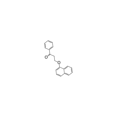 O=C(CCOc1cccc2ccccc12)c1ccccc1